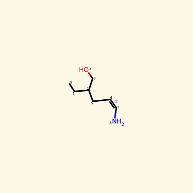 CCC(CO)C/C=C\N